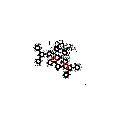 CC(C)(C)c1ccc2c(c1)Oc1cc(-c3cc(-c4ccccc4)cc(-c4ccccc4)c3)cc3c1B2c1cc2c(cc1N3c1ccccc1)N(c1c(-c3ccccc3)cccc1-c1ccccc1)c1cc(-c3cc(-c4ccccc4)cc(-c4ccccc4)c3)cc3c1B2c1ccc(C(C)(C)C)cc1O3